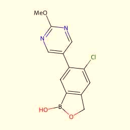 COc1ncc(-c2cc3c(cc2Cl)COB3O)cn1